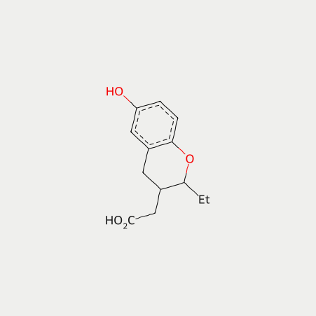 CCC1Oc2ccc(O)cc2CC1CC(=O)O